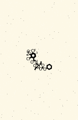 Cc1nn(C(C)OC(=O)OC2CCCCC2)c(=NC(=O)c2ccc(C(F)(F)F)c([S+](C)[O-])c2Cl)o1